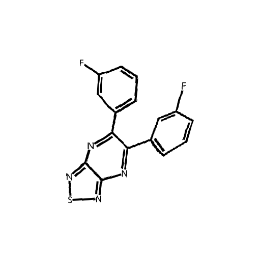 Fc1cccc(-c2nc3nsnc3nc2-c2cccc(F)c2)c1